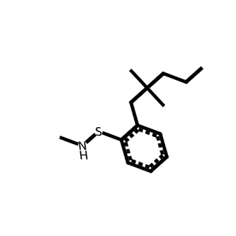 CCCC(C)(C)Cc1ccccc1SNC